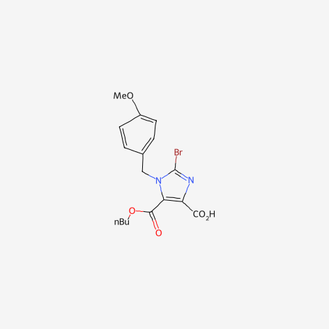 CCCCOC(=O)c1c(C(=O)O)nc(Br)n1Cc1ccc(OC)cc1